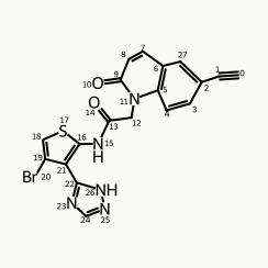 C#Cc1ccc2c(ccc(=O)n2CC(=O)Nc2scc(Br)c2-c2ncn[nH]2)c1